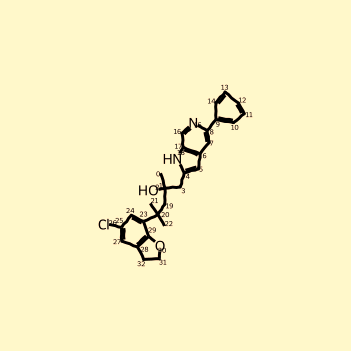 CC(O)(Cc1cc2cc(-c3ccccc3)ncc2[nH]1)CC(C)(C)c1cc(Cl)cc2c1OCC2